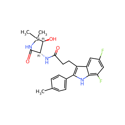 Cc1ccc(-c2[nH]c3c(F)cc(F)cc3c2CCC(=O)N[C@@H]2C(=O)N[Si](C)(C)[C@H]2O)cc1